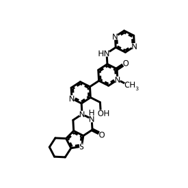 Cn1cc(-c2ccnc(N3Cc4c(sc5c4CCCC5)C(=O)N3)c2CO)cc(Nc2cnccn2)c1=O